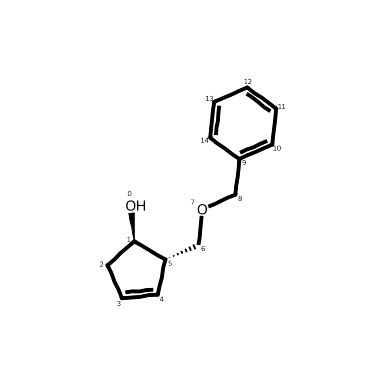 O[C@@H]1CC=C[C@H]1COCc1ccccc1